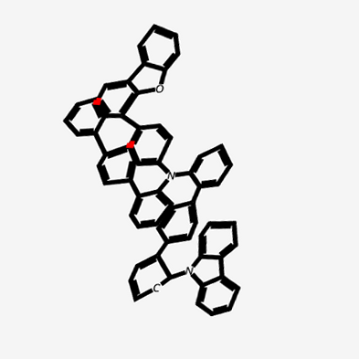 C1=CCC(n2c3ccccc3c3ccccc32)C(c2ccc(-c3ccccc3N(c3ccc(-c4cccc5c4oc4ccccc45)cc3)c3ccccc3-c3ccc(-c4ccccc4)cc3)cc2)=C1